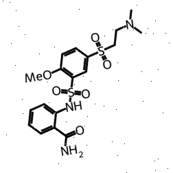 COc1ccc(S(=O)(=O)CCN(C)C)cc1S(=O)(=O)Nc1ccccc1C(N)=O